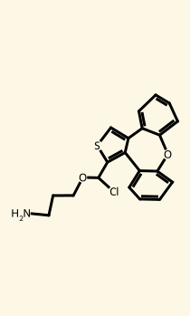 NCCCOC(Cl)c1scc2c1-c1ccccc1Oc1ccccc1-2